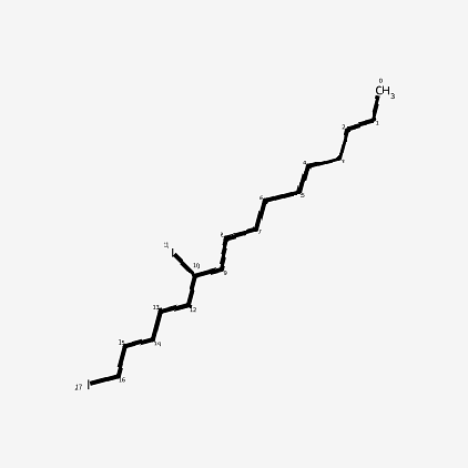 CCCCCCCCCCC(I)CCCCCI